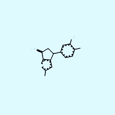 N=C1CC(c2ccc(Cl)c(Cl)c2)c2cc(Br)sc21